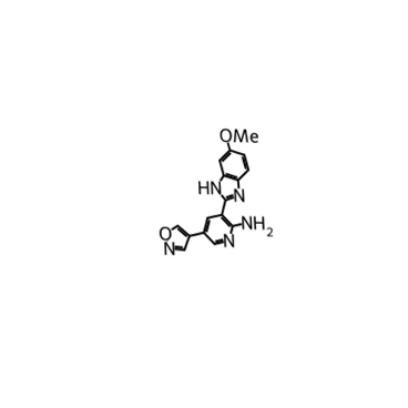 COc1ccc2nc(-c3cc(-c4cnoc4)cnc3N)[nH]c2c1